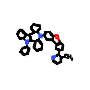 Cc1cccnc1-c1ccc2oc3ccc(N4c5ccccc5-c5c(n(-c6ccccc6)c6ccccc56)-c5ccccc54)cc3c2c1